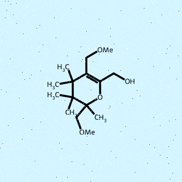 COCC1=C(CO)OC(C)(COC)C(C)(C)C1(C)C